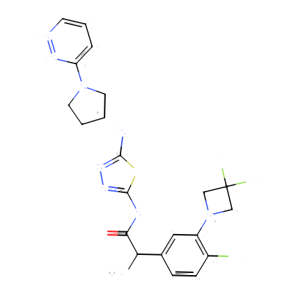 COC(C(=O)Nc1nnc(N[C@@H]2CCN(c3cccnn3)C2)s1)c1ccc(F)c(N2CC(F)(F)C2)c1